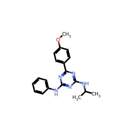 COc1ccc(-c2nc(Nc3ccccc3)nc(NC(C)C)n2)cc1